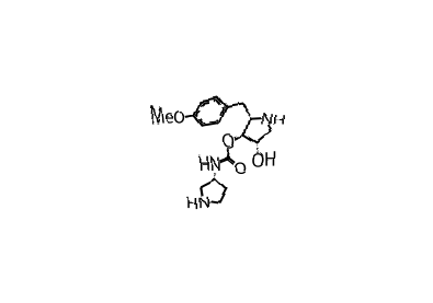 COc1ccc(C[C@H]2NC[C@H](O)[C@H]2OC(=O)N[C@@H]2CCNC2)cc1